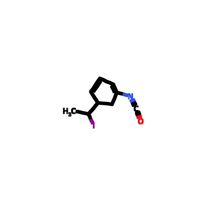 CC(I)C1C=CC=C(N=C=O)C1